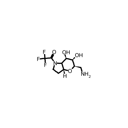 NC[C@H]1O[C@@H]2CCN(C(=O)C(F)(F)F)C2[C@@H](O)[C@H]1O